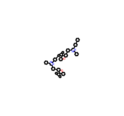 c1ccc(-c2ccc(-c3cc(-c4cccc(-c5ccc6c(c5)C5(c7ccccc7O6)c6ccccc6-c6ccc(-c7ccc(-c8nc(-c9ccccc9)cc(-c9cccc(-c%10ccc%11c(c%10)C%10(c%12ccccc%12O%11)c%11ccccc%11-c%11ccccc%11%10)c9)n8)cc7)cc65)c4)nc(-c4ccccc4)n3)cc2)cc1